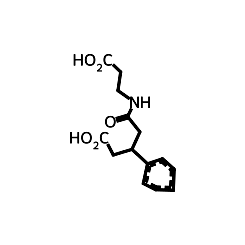 O=C(O)CCNC(=O)CC(CC(=O)O)c1ccccc1